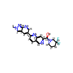 Cn1cc2cc(-c3ccc4cnc(C(=O)N5CCCC(F)(F)C5)cc4n3)cnc2n1